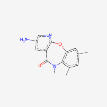 Cc1cc(C)c2c(c1)Oc1ncc(N)cc1C(=O)N2C